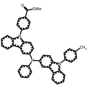 COC(=O)c1ccc(-n2c3ccccc3c3cc(N(c4ccccc4)c4ccc5c(c4)c4ccccc4n5-c4ccc(C)cc4)ccc32)cc1